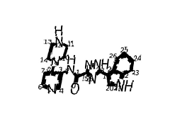 O=C(Nc1cnccc1N1CCNCC1)c1n[nH]c(-c2c[nH]c3ccccc23)n1